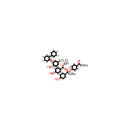 CC(C)COC(=O)c1ccc(O)cc1.CCCOC(=O)c1ccc(O)cc1.CCOC(=O)c1ccc(O)cc1.COC(=O)c1ccc(O)cc1.Oc1ccccc1-c1ccccc1